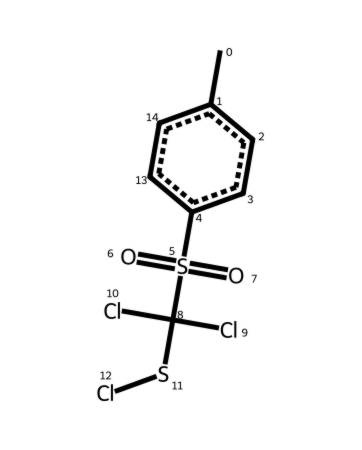 Cc1ccc(S(=O)(=O)C(Cl)(Cl)SCl)cc1